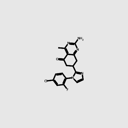 Cc1nc(N)nc2c1C(=O)CC(c1nccn1-c1ccc(Cl)cc1F)C2